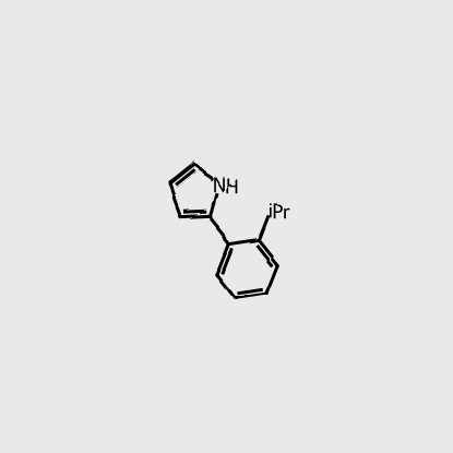 CC(C)c1ccccc1-c1ccc[nH]1